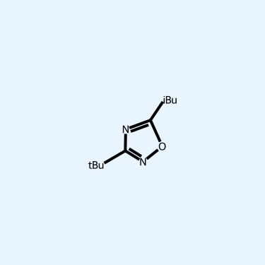 CCC(C)c1nc(C(C)(C)C)no1